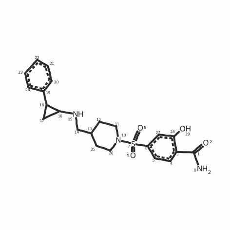 NC(=O)c1ccc(S(=O)(=O)N2CCC(CNC3CC3c3ccccc3)CC2)cc1O